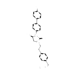 NCc1ccc(CCN2CC(=O)N(c3ccc(-c4ccc(C(F)(F)F)cc4)cc3)C2=O)cc1